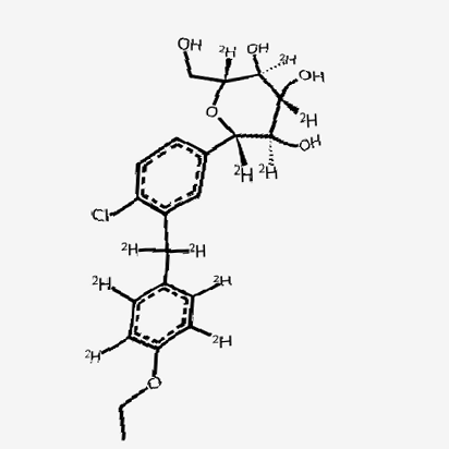 [2H]c1c([2H])c(C([2H])([2H])c2cc([C@]3([2H])O[C@]([2H])(CO)[C@@]([2H])(O)[C@]([2H])(O)[C@@]3([2H])O)ccc2Cl)c([2H])c([2H])c1OCC